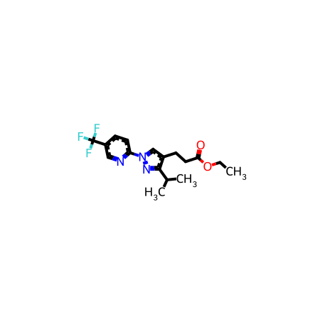 CCOC(=O)CCc1cn(-c2ccc(C(F)(F)F)cn2)nc1C(C)C